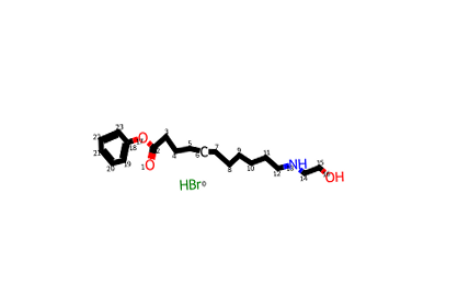 Br.O=C(CCCCCCCCCCNCCO)Oc1ccccc1